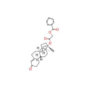 C#C[C@]1(OC(=O)COC(=O)c2ccccc2)CC[C@H]2[C@@H]3CCC4=CC(=O)CC[C@@H]4[C@H]3CC[C@@]21C